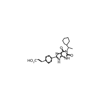 CC(C1CCCCC1)n1c(=O)[nH]c2[nH]c(-c3ccc(C=CC(=O)O)cc3)nc2c1=O